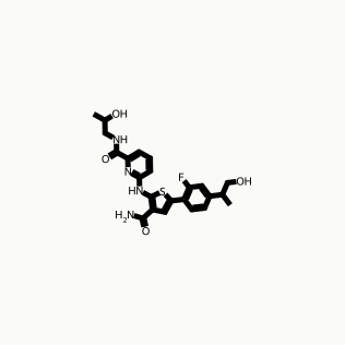 CC(O)CNC(=O)c1cccc(Nc2sc(-c3ccc(C(C)CO)cc3F)cc2C(N)=O)n1